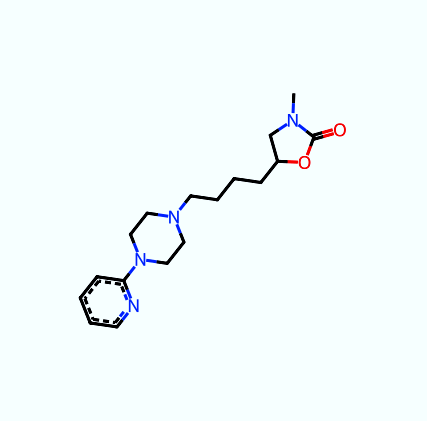 CN1CC(CCCCN2CCN(c3ccccn3)CC2)OC1=O